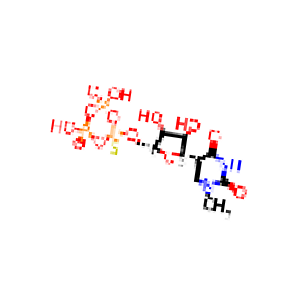 Cn1cc([C@@H]2O[C@H](COP3(=S)OP(=O)(O)OP(=O)(O)O3)C(O)C2O)c(=O)[nH]c1=O